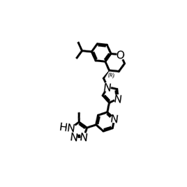 Cc1[nH]nnc1-c1ccnc(-c2cn(C[C@@H]3CCOc4ccc(C(C)C)cc43)cn2)c1